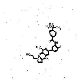 Cn1nc(-c2ccc(F)c(NC(=O)c3cnc(C(C)(C)C)cn3)c2)cc(Nc2ccn(CCO)n2)c1=O